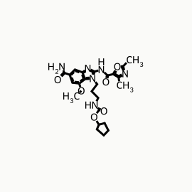 COc1cc(C(N)=O)cc2nc(NC(=O)c3oc(C)nc3C)n(CCCNC(=O)OC3CCCC3)c12